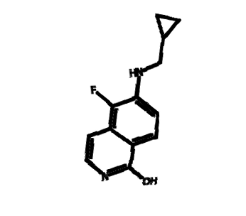 Oc1nccc2c(F)c(NCC3CC3)ccc12